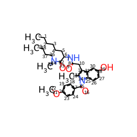 CCCCCCC(NC(=O)Cc1c(C)n(C(=O)c2ccc(OC)cc2)c2ccc(O)cc12)C(=O)N(C)CCCC